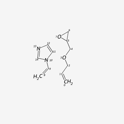 C=CCOCC1CO1.C=Cn1ccnc1